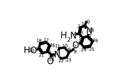 Cc1cc(N)c2c(OCC3CCN(C(=O)c4cccc(O)c4)CC3)cccc2n1